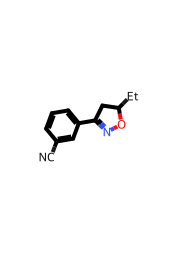 CCC1CC(c2cccc(C#N)c2)=NO1